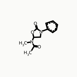 CC(=O)N(C)C1CN(c2ccccc2)C(=O)O1